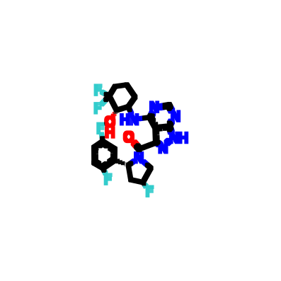 O=C(c1n[nH]c2ncnc(NC3CCCC(F)(F)[C@H]3O)c12)N1C[C@@H](F)C[C@@H]1c1cc(F)ccc1F